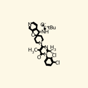 Cc1c(N2CCC3(CC2)Oc2cnccc2[C@@H]3N[S+]([O-])C(C)(C)C)nc(C)n(-c2cccc(Cl)c2Cl)c1=O